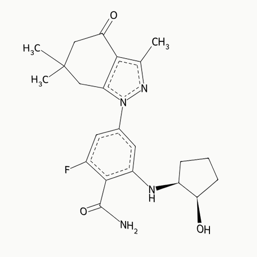 Cc1nn(-c2cc(F)c(C(N)=O)c(N[C@H]3CCC[C@H]3O)c2)c2c1C(=O)CC(C)(C)C2